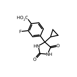 O=C1NC(=O)C(c2ccc(C(=O)O)c(F)c2)(C2CC2)N1